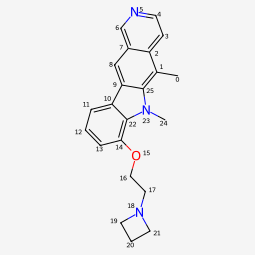 Cc1c2ccncc2cc2c3cccc(OCCN4CCC4)c3n(C)c12